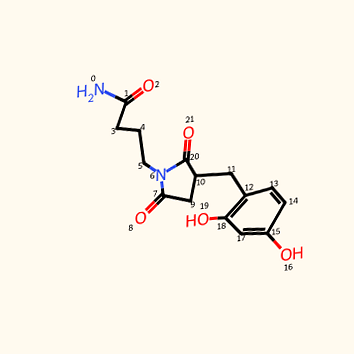 NC(=O)CCCN1C(=O)CC(Cc2ccc(O)cc2O)C1=O